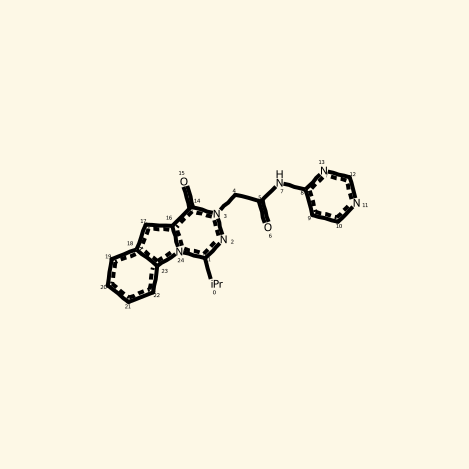 CC(C)c1nn(CC(=O)Nc2ccncn2)c(=O)c2cc3ccccc3n12